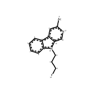 CC(=O)c1cc2c3ccccc3n(CCCF)c2cn1